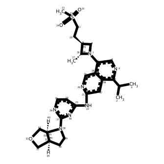 CC(C)c1ncc(N2C[C@H](CCS(C)(=O)=O)[C@H]2C)c2cnc(Nc3ccnc(N4CC[C@H]5COC[C@H]54)n3)cc12